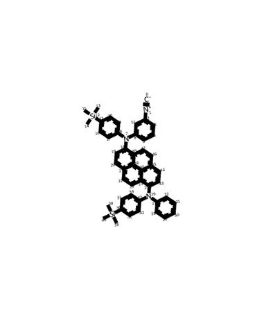 [C-]#[N+]c1cccc(N(c2ccc([Si](C)(C)C)cc2)c2ccc3ccc4c(N(c5ccccc5)c5ccc([Si](C)(C)C)cc5)ccc5ccc2c3c54)c1